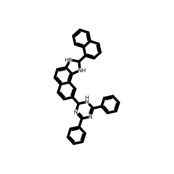 B1c2ccc3ccc(C4N=C(c5ccccc5)N=C(c5ccccc5)N4)cc3c2NC1c1cccc2ccccc12